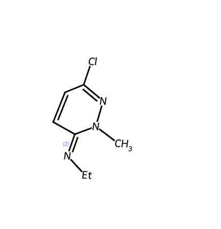 CC/N=c1/ccc(Cl)nn1C